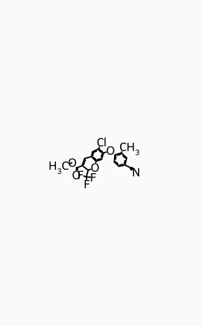 COC(=O)C1=Cc2cc(Cl)c(Oc3ccc(C#N)cc3C)cc2OC1C(F)(F)F